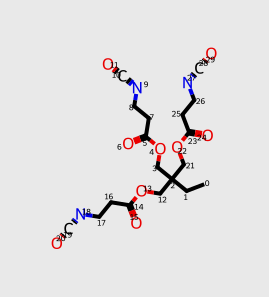 CCC(COC(=O)CCN=C=O)(COC(=O)CCN=C=O)COC(=O)CCN=C=O